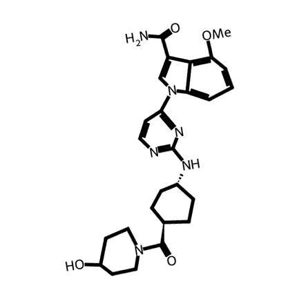 COc1cccc2c1c(C(N)=O)cn2-c1ccnc(N[C@H]2CC[C@H](C(=O)N3CCC(O)CC3)CC2)n1